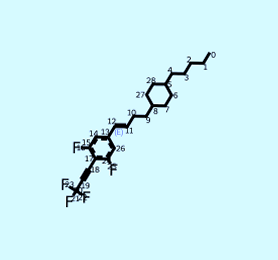 CCCCCC1CCC(CC/C=C/c2cc(F)c(C#CC(F)(F)F)c(F)c2)CC1